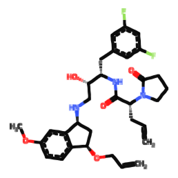 C=CCO[C@@H]1C[C@H](NC[C@H](O)[C@H](Cc2cc(F)cc(F)c2)NC(=O)[C@@H](CC=C)N2CCCC2=O)c2cc(OC)ccc21